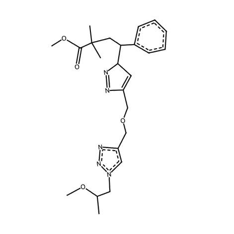 COC(=O)C(C)(C)CC(c1ccccc1)C1C=C(COCc2cn(CC(C)OC)nn2)N=N1